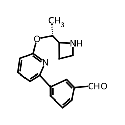 C[C@@H](Oc1cccc(-c2cccc(C=O)c2)n1)C1CCN1